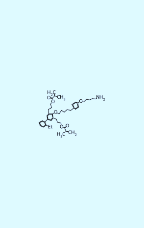 C=C(C)C(=O)OCCCc1cc(-c2ccccc2CC)cc(CCCOC(=O)C(=C)C)c1OCCCCCc1ccc(OCCCCCN)cc1